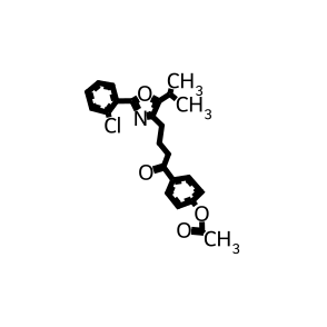 CC(=O)Oc1ccc(C(=O)CCCc2nc(-c3ccccc3Cl)oc2C(C)C)cc1